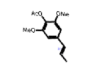 C/C=C/c1cc(OC)c(OC(C)=O)c(OC)c1